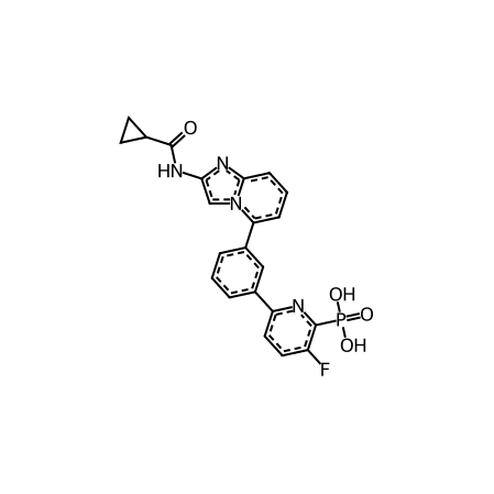 O=C(Nc1cn2c(-c3cccc(-c4ccc(F)c(P(=O)(O)O)n4)c3)cccc2n1)C1CC1